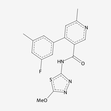 COc1nnc(NC(=O)c2cnc(C)cc2-c2cc(C)cc(F)c2)s1